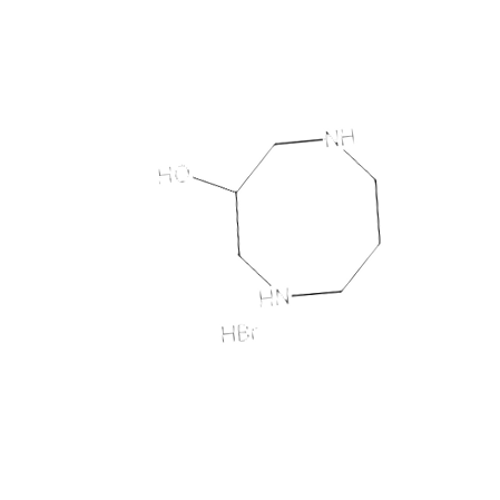 Br.OC1CNCCCNC1